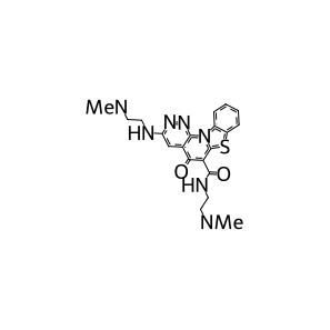 CNCCNC(=O)c1c(=O)c2cc(NCCNC)nnc2n2c1sc1ccccc12